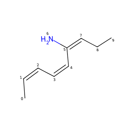 C\C=C/C=C\C(N)=C/CC